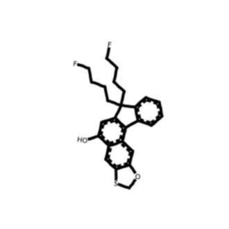 Oc1cc2c(c3cc4c(cc13)SCO4)-c1ccccc1C2(CCCCF)CCCCF